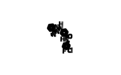 CN(C)c1nc(NC2CCC(C(=O)NCc3ccc(F)c(Cl)c3)CC2)nc2ccccc12